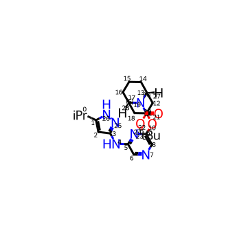 CC(C)c1cc(Nc2cncc(OC3C[C@H]4CCC[C@@H](C3)N4C(=O)OC(C)(C)C)n2)n[nH]1